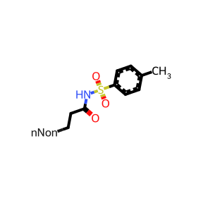 CCCCCCCCCCCC(=O)NS(=O)(=O)c1ccc(C)cc1